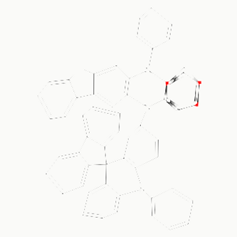 c1ccc(N(c2ccccc2)c2cc3sc4ccccc4c3cc2N(c2ccccc2)c2ccc3c(c2)C2(c4ccccc4-c4ccccc42)c2ccccc2N3c2ccccc2)cc1